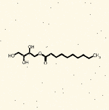 CCCCCCCCCC(=O)OCC(O)C(O)CO